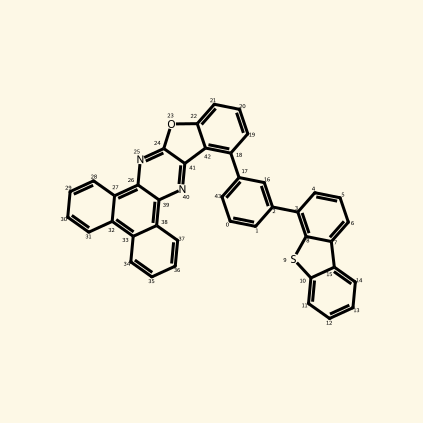 c1cc(-c2cccc3c2sc2ccccc23)cc(-c2cccc3oc4nc5c6ccccc6c6ccccc6c5nc4c23)c1